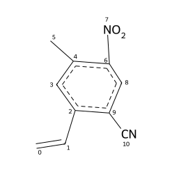 C=Cc1cc(C)c([N+](=O)[O-])cc1C#N